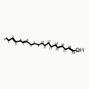 CC/C=C/C/C=C/CCCCCCCCCCC/C=C/O